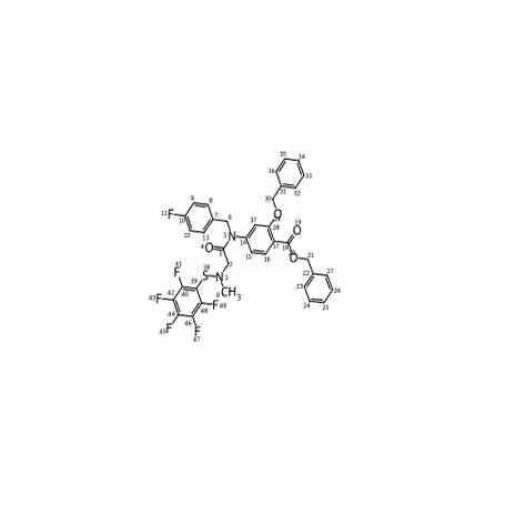 CN(CC(=O)N(Cc1ccc(F)cc1)c1ccc(C(=O)OCc2ccccc2)c(OCc2ccccc2)c1)Sc1c(F)c(F)c(F)c(F)c1F